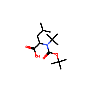 CC(C)CC(C(=O)O)N(C(=O)OC(C)(C)C)C(C)(C)C